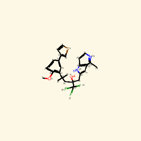 COc1ccc(-c2ccsc2)cc1C(C)(C)CC(O)(Cc1cc2c(C)nccc2[nH]1)C(F)(F)F